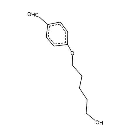 O=Cc1ccc(OCCCCCO)cc1